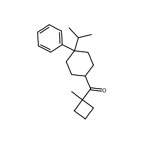 CC(C)C1(c2ccccc2)CCC(C(=O)C2(C)CCC2)CC1